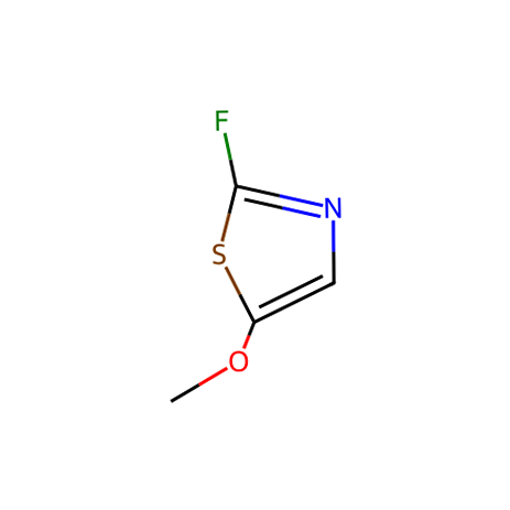 COc1cnc(F)s1